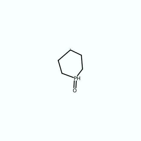 O=[PH]1CC[CH]CC1